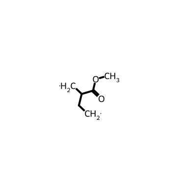 [CH2]CC([CH2])C(=O)OC